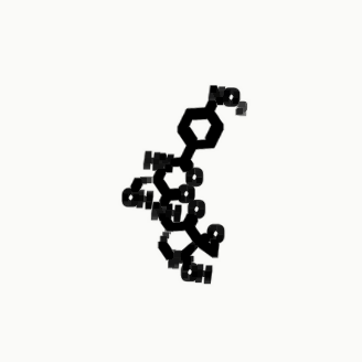 CC(C)C[C@H](NC(=O)[C@H](CO)NC(=O)c1ccc([N+](=O)[O-])cc1)C(=O)[C@@]1(CO)CO1